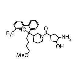 COCCCCC(O)(c1ccccc1-c1cccc(C(F)(F)F)c1)C1CCCN(C(=O)C2CC(N)C(O)C2)C1